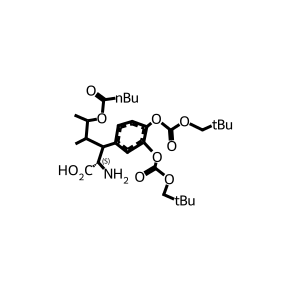 CCCCC(=O)OC(C)C(C)C(c1ccc(OC(=O)OCC(C)(C)C)c(OC(=O)OCC(C)(C)C)c1)[C@H](N)C(=O)O